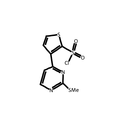 CSc1nccc(-c2ccsc2S(=O)(=O)Cl)n1